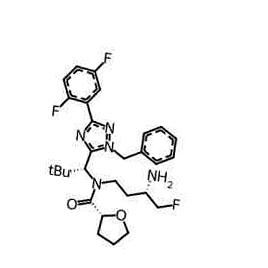 CC(C)(C)[C@H](c1nc(-c2cc(F)ccc2F)nn1Cc1ccccc1)N(CC[C@H](N)CF)C(=O)[C@H]1CCCO1